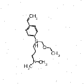 C=Cc1ccc([SiH](CCCN(C)C)COCC)cc1